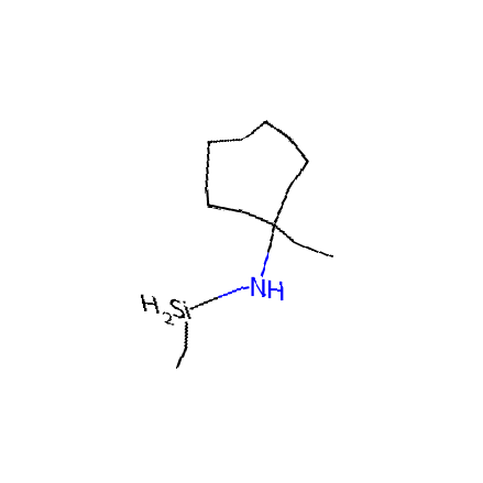 C[SiH2]NC1(C)CCCC1